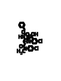 CN(C(=O)CCC(NC(=O)OCc1ccccc1)C(=O)Nc1ccc(Cl)cc1C(=O)O)c1ccc(Cl)cc1